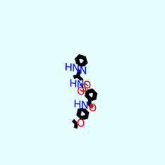 CC(C)Oc1ccc(NC(=O)c2cccc(S(=O)(=O)NCC(C)c3nc4ccccc4[nH]3)c2)cc1